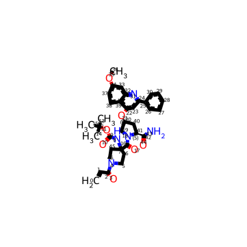 C=CC(=O)N1CCC(NC(=O)OC(C)(C)C)(C(=O)N2C[C@H](Oc3cc(-c4ccccc4)nc4cc(OC)ccc34)C[C@H]2C(N)=O)CC1